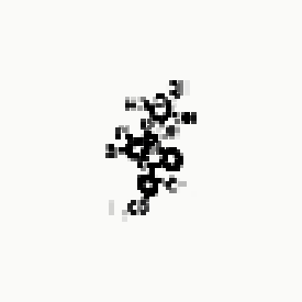 COc1ccc(C(=O)c2ccccc2-n2cc(O[C@@H]3[C@@H](O)[C@@H](O)[C@@H](CO)O[C@H]3O)c3c(Cl)c(Br)ccc32)c(OC)c1